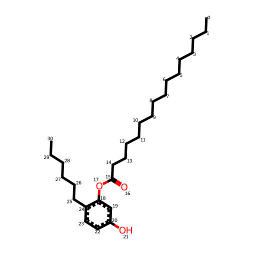 CCCCCCCCCCCCCCCC(=O)Oc1cc(O)ccc1CCCCCC